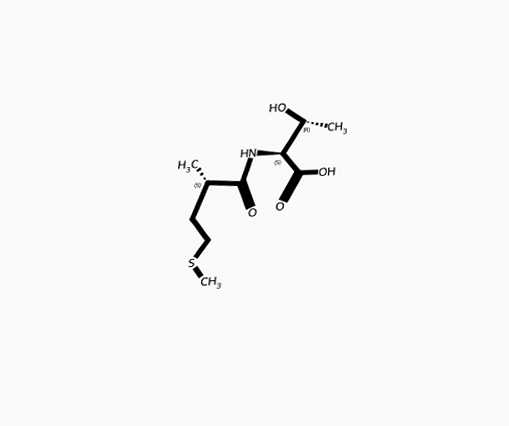 CSCC[C@H](C)C(=O)N[C@H](C(=O)O)[C@@H](C)O